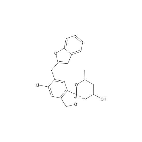 CC1CC(O)C[C@@]2(OCc3cc(Cl)c(Cc4cc5ccccc5o4)cc32)O1